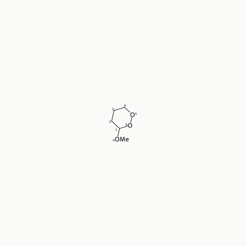 COC1CCCOO1